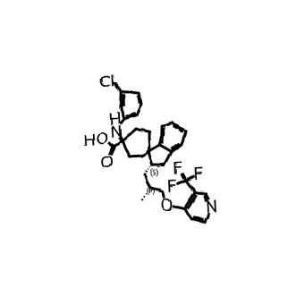 C[C@@H](COc1ccncc1C(F)(F)F)C[C@H]1Cc2ccccc2C12CCC(Nc1cccc(Cl)c1)(C(=O)O)CC2